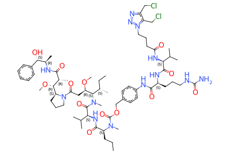 CCC[C@@H](C(=O)N[C@H](C(=O)N(C)[C@@H]([C@@H](C)CC)[C@@H](CC(=O)N1CCC[C@H]1[C@H](OC)[C@@H](C)C(=O)N[C@H](C)[C@@H](O)c1ccccc1)OC)C(C)C)N(C)C(=O)OCc1ccc(NC(=O)[C@H](CCCNC(N)=O)NC(=O)[C@@H](NC(=O)CCCn2nnc(CCl)c2CCl)C(C)C)cc1